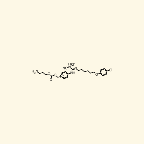 N#CN/C(=N/CCCCCCOc1ccc(Cl)cc1)Nc1cc[n+](COC(=O)OCCCN)cc1.[Cl-]